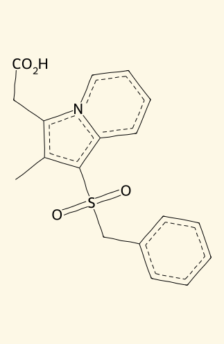 Cc1c(S(=O)(=O)Cc2ccccc2)c2ccccn2c1CC(=O)O